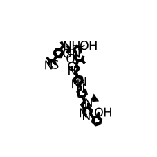 Cc1ncsc1-c1ccc(C(C)NC(=O)[C@@H]2C[C@@H](O)CN2C(=O)C(c2cc(-c3cnc(N4CCC(c5cc6nnc(-c7ccccc7O)cc6n5C5CC5)CC4)nc3)no2)C(C)C)cc1